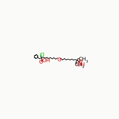 CCC(CC)(CCCCCCCCCOCCCCCCCCCC(CCl)(Cc1ccccc1)C(=O)O)C(=O)O